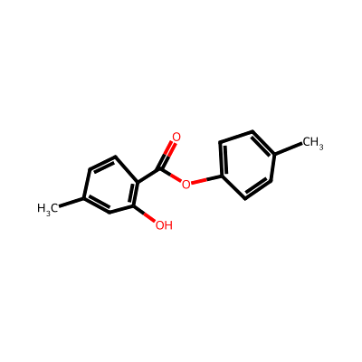 Cc1ccc(OC(=O)c2ccc(C)cc2O)cc1